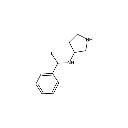 IC(NC1CCNC1)c1ccccc1